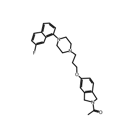 CC(=O)N1Cc2ccc(OCCCN3CCN(c4cccc5ccc(F)cc45)CC3)cc2C1